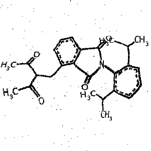 CC(=O)C(Cc1cccc2c1C(=O)N(c1c(C(C)C)cccc1C(C)C)C2=O)C(C)=O